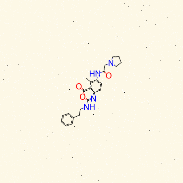 Cc1c(NC(=O)CN2CCCC2)ccc2nc(NCCc3ccccc3)oc(=O)c12